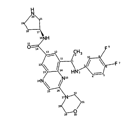 CC(Nc1ccc(F)c(F)c1)c1cc(C(=O)N[C@H]2CCNC2)cc2ncc(N3CCOCC3)nc12